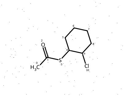 CC(=O)SC1CCCCC1Cl